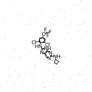 FC(F)(F)Oc1cc(Cl)c(Nc2nc3cnc(NC4CCC4)nc3[nH]2)c(Cl)c1